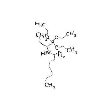 CCCCCC(N)NC(CC)[Si](OCC)(OCC)OCC